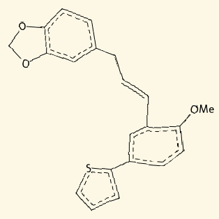 COc1ccc(-c2cccs2)cc1C=CCc1ccc2c(c1)OCO2